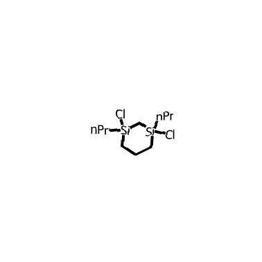 CCC[Si]1(Cl)CCC[Si](Cl)(CCC)C1